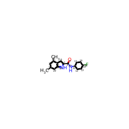 Cc1cc(C)c2cc(C(=O)Nc3ccc(F)cc3)[nH]c2c1